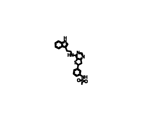 CS(=O)(=O)Nc1cccc(C2Cc3ncnc(NCCc4c[nH]c5ccccc45)c3S2)c1